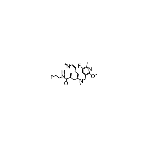 C=N/C=C\CC=C(CC(=C)C(=O)NCCF)N(C)Cc1cc(F)c(C)nc1OC